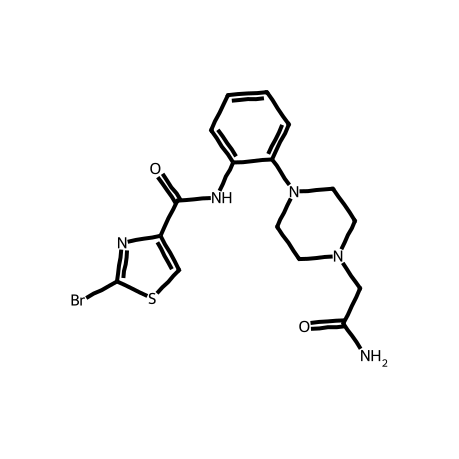 NC(=O)CN1CCN(c2ccccc2NC(=O)c2csc(Br)n2)CC1